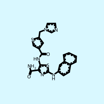 NC(=O)c1nc(Nc2ccc3ccccc3c2)sc1NC(=O)c1csc(Cn2ccnc2)c1